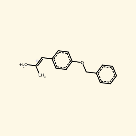 [CH2]/C(C)=C/c1ccc(OCc2ccccc2)cc1